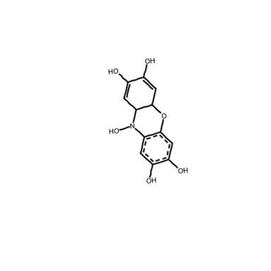 OC1=CC2Oc3cc(O)c(O)cc3N(O)C2C=C1O